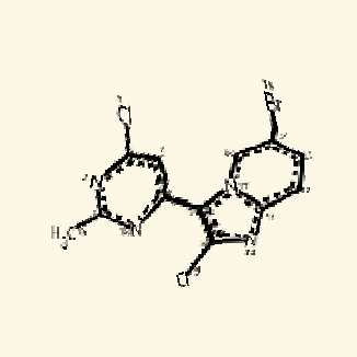 Cc1nc(Cl)cc(-c2c(Cl)nc3ccc(Br)cn23)n1